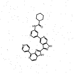 O=C(Nc1cncc(-c2cc3c(-c4nc5c(-c6ccncc6)nccc5[nH]4)n[nH]c3cn2)c1)C1CCCCC1